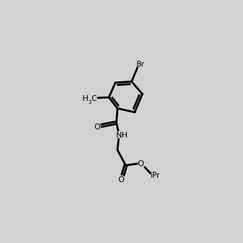 Cc1cc(Br)ccc1C(=O)NCC(=O)OC(C)C